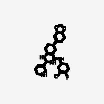 FC1=C(Cl)CC(NC2NC(C3=CCCNC3)NC3=C2CC(C2=CC4OCOC4CC2)CC3)CC1